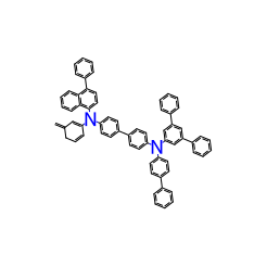 C=C1C=C(N(c2ccc(-c3ccc(N(c4ccc(-c5ccccc5)cc4)c4cc(-c5ccccc5)cc(-c5ccccc5)c4)cc3)cc2)c2ccc(-c3ccccc3)c3ccccc23)C=CC1